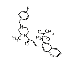 C[C@@H]1CN(Cc2ccc(F)cc2)CCN1C(=O)/C=C/c1cc2ncccc2cc1NS(C)(=O)=O